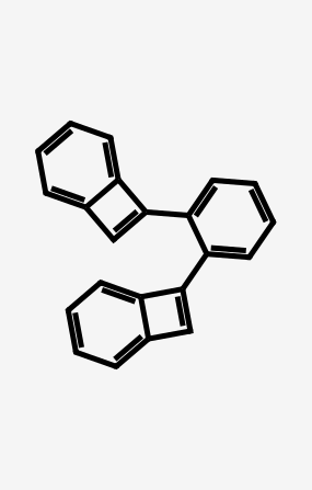 C1=C(c2ccccc2C2=Cc3ccccc32)c2ccccc21